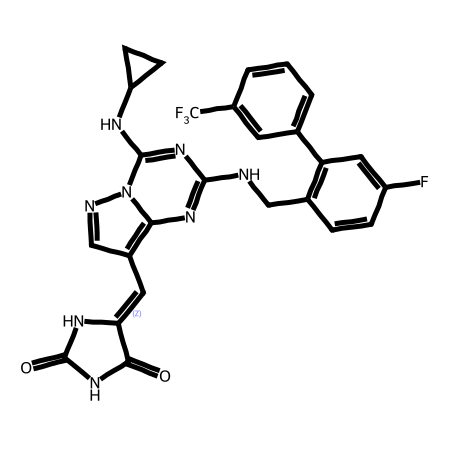 O=C1NC(=O)/C(=C/c2cnn3c(NC4CC4)nc(NCc4ccc(F)cc4-c4cccc(C(F)(F)F)c4)nc23)N1